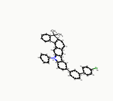 CC1(C)c2ccccc2-c2c1ccc1cc3c4cc(-c5cccc(-c6ccc(Br)cc6)c5)ccc4n(-c4ccccc4)c3cc21